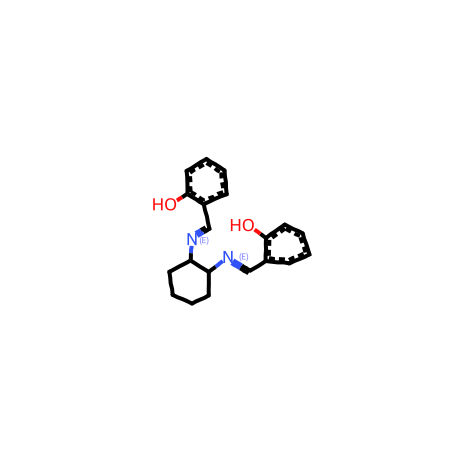 Oc1ccccc1/C=N/C1CCCCC1/N=C/c1ccccc1O